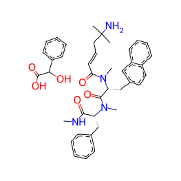 CNC(=O)[C@@H](Cc1ccccc1)N(C)C(=O)[C@@H](Cc1ccc2ccccc2c1)N(C)C(=O)/C=C/CC(C)(C)N.O=C(O)C(O)c1ccccc1